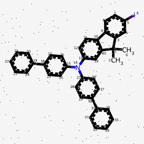 CC1(C)c2cc(I)ccc2-c2ccc(N(c3ccc(-c4ccccc4)cc3)c3ccc(-c4ccccc4)cc3)cc21